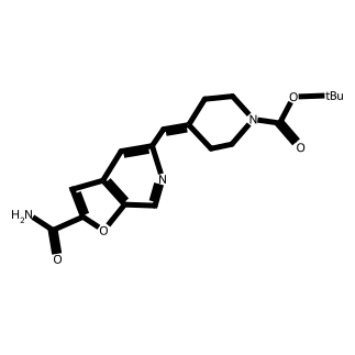 CC(C)(C)OC(=O)N1CCC(=Cc2cc3cc(C(N)=O)oc3cn2)CC1